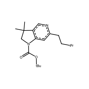 CC(C)CCc1cc2c(cn1)C(C)(C)CN2C(=O)OC(C)(C)C